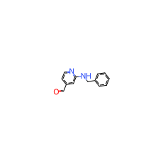 O=Cc1ccnc(NCc2ccccc2)c1